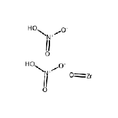 O=[N+]([O-])O.O=[N+]([O-])O.[O]=[Zr]